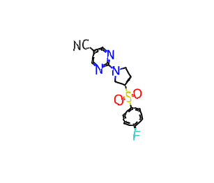 N#Cc1cnc(N2CCC(S(=O)(=O)c3ccc(F)cc3)C2)nc1